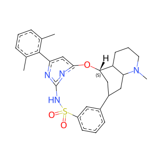 Cc1cccc(C)c1-c1cc2nc(n1)NS(=O)(=O)c1cccc(c1)C1CC3C(CCCN3C)[C@H](C1)O2